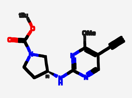 C#Cc1cnc(N[C@@H]2CCN(C(=O)OC(C)(C)C)C2)nc1OC